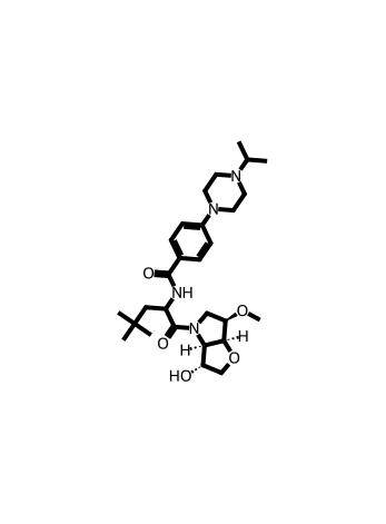 CO[C@@H]1CN(C(=O)C(CC(C)(C)C)NC(=O)c2ccc(N3CCN(C(C)C)CC3)cc2)[C@H]2[C@@H]1OC[C@@H]2O